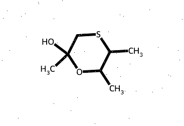 CC1OC(C)(O)CSC1C